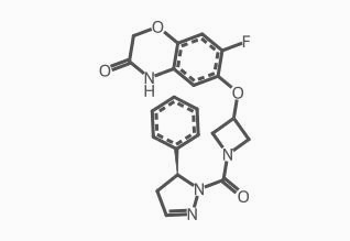 O=C1COc2cc(F)c(OC3CN(C(=O)N4N=CC[C@H]4c4ccccc4)C3)cc2N1